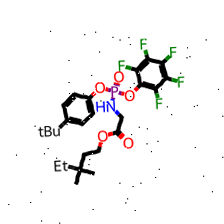 CCC(C)(C)CCOC(=O)CNP(=O)(Oc1ccc(C(C)(C)C)cc1)Oc1c(F)c(F)c(F)c(F)c1F